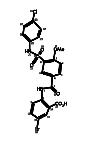 COc1ccc(C(=O)Nc2ccc(Br)cc2C(=O)O)cc1S(=O)(=O)Nc1ccc(Cl)cc1